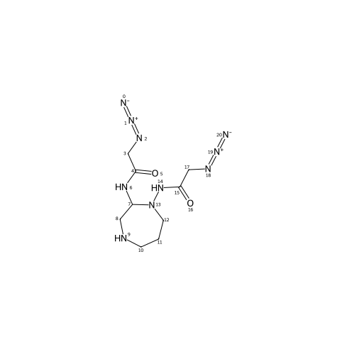 [N-]=[N+]=NCC(=O)NC1CNCCCN1NC(=O)CN=[N+]=[N-]